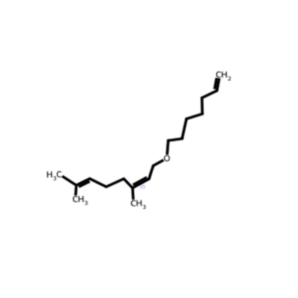 C=CCCCCCOC/C=C(/C)CCC=C(C)C